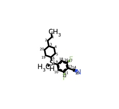 CCCC1CCC([SiH](C)c2cc(F)c(C#N)c(F)c2)CC1